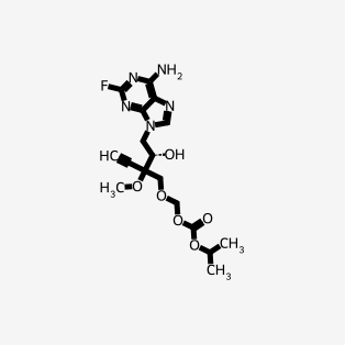 C#CC(COCOC(=O)OC(C)C)(OC)[C@@H](O)Cn1cnc2c(N)nc(F)nc21